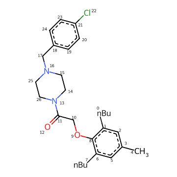 CCCCc1cc(C)cc(CCCC)c1OCC(=O)N1CCN(Cc2ccc(Cl)cc2)CC1